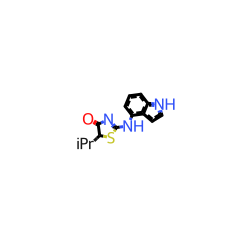 CC(C)C1SC(Nc2cccc3[nH]ccc23)=NC1=O